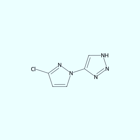 Clc1ccn(-c2c[nH]nn2)n1